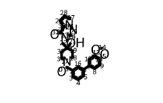 O=C(c1cccc(-c2ccc3c(c2)OCO3)c1)N1CCC(O)(Cn2cnn3cccc3c2=O)CC1